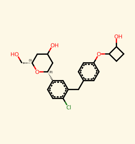 OC[C@@H]1CC(O)C[C@H](c2ccc(Cl)c(Cc3ccc(OC4CCC4O)cc3)c2)O1